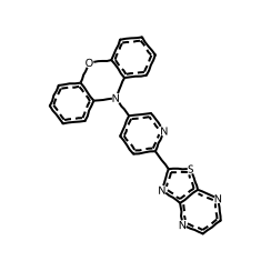 c1ccc2c(c1)Oc1ccccc1N2c1ccc(-c2nc3nccnc3s2)nc1